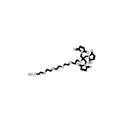 O=C(O)CCOCCOCCOCCOCCOC(CN1C(=O)C=CC1=O)(CN1C(=O)C=CC1=O)CN1C(=O)C=CC1O